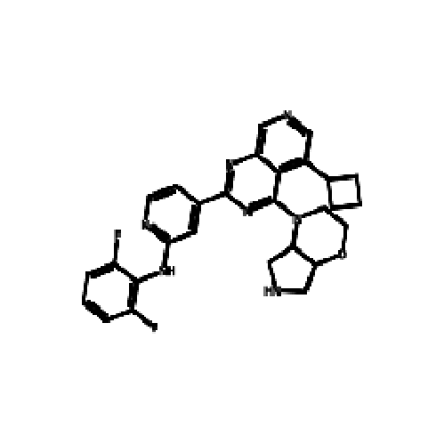 Fc1cccc(F)c1Nc1cc(-c2nc(N3CCOC4CNCC43)c3c(C4CCC4)cncc3n2)ccn1